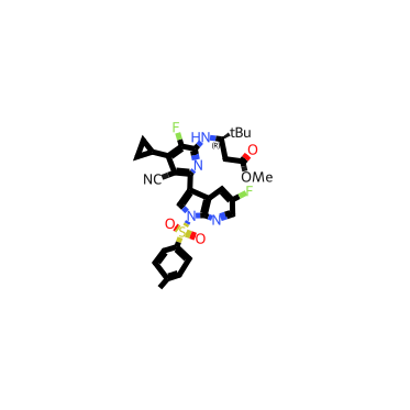 COC(=O)C[C@@H](Nc1nc(-c2cn(S(=O)(=O)c3ccc(C)cc3)c3ncc(F)cc23)c(C#N)c(C2CC2)c1F)C(C)(C)C